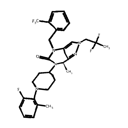 Cc1cccc(F)c1N1CCC(N2C(=O)N(Cc3ccccc3C(F)(F)F)c3cn(CC(C)(F)F)nc3[C@H]2C)CC1